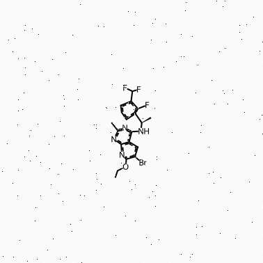 CCOc1nc2nc(C)nc(N[C@H](C)c3cccc(C(F)F)c3F)c2cc1Br